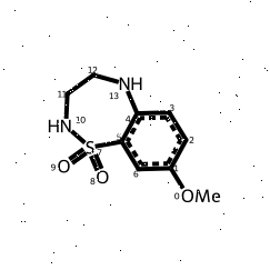 COc1ccc2c(c1)S(=O)(=O)NCCN2